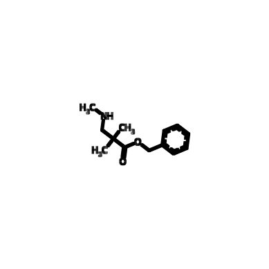 CNCC(C)(C)C(=O)OCc1ccccc1